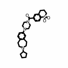 O=C(c1ccc2c(c1)CCCS2(=O)=O)N1CCN(c2ccc3c(c2)CCN(C2CCCC2)CC3)CC1